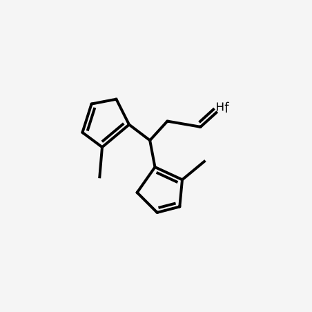 CC1=C(C(C[CH]=[Hf])C2=C(C)C=CC2)CC=C1